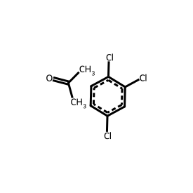 CC(C)=O.Clc1ccc(Cl)c(Cl)c1